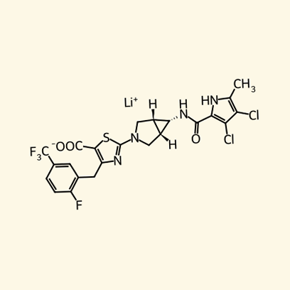 Cc1[nH]c(C(=O)N[C@@H]2[C@@H]3CN(c4nc(Cc5cc(C(F)(F)F)ccc5F)c(C(=O)[O-])s4)C[C@@H]32)c(Cl)c1Cl.[Li+]